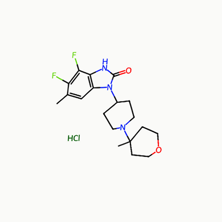 Cc1cc2c([nH]c(=O)n2C2CCN(C3(C)CCOCC3)CC2)c(F)c1F.Cl